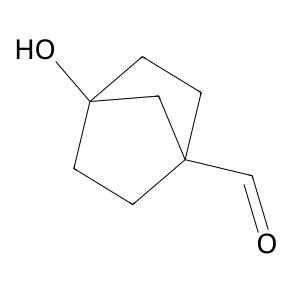 O=CC12CCC(O)(CC1)C2